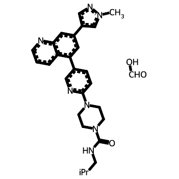 CC(C)CNC(=O)N1CCN(c2ccc(-c3cc(-c4cnn(C)c4)cc4ncccc34)cn2)CC1.O=CO